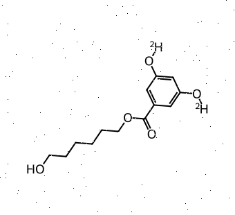 [2H]Oc1cc(O[2H])cc(C(=O)OCCCCCCO)c1